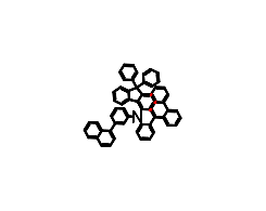 c1ccc(C2(c3ccccc3)c3ccccc3-c3c(N(c4cccc(-c5cccc6ccccc56)c4)c4ccccc4-c4cc5ccccc5c5ccccc45)cccc32)cc1